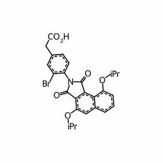 CC(C)Oc1cc2cccc(OC(C)C)c2c2c1C(=O)N(c1ccc(CC(=O)O)cc1Br)C2=O